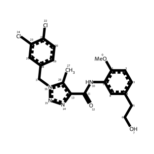 COc1ccc(CCO)cc1NC(=O)c1nnn(Cc2ccc(Cl)c(Cl)c2)c1C